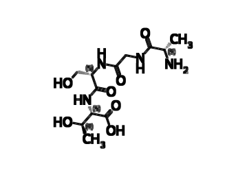 C[C@H](N)C(=O)NCC(=O)N[C@@H](CO)C(=O)N[C@H](C(=O)O)[C@@H](C)O